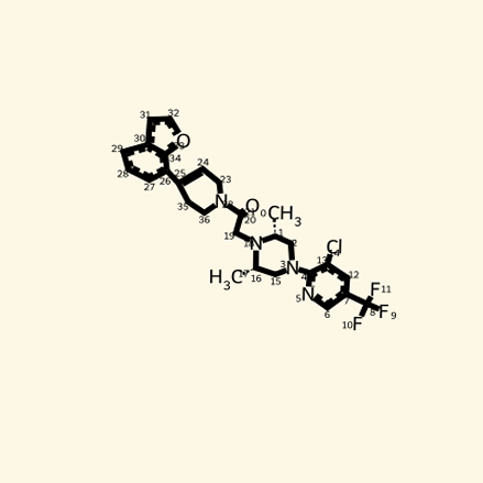 C[C@@H]1CN(c2ncc(C(F)(F)F)cc2Cl)C[C@H](C)N1CC(=O)N1CC=C(c2cccc3ccoc23)CC1